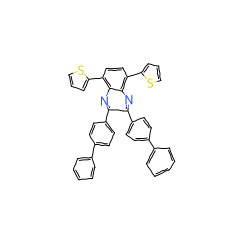 c1ccc(-c2ccc(-c3nc4c(-c5cccs5)ccc(-c5cccs5)c4nc3-c3ccc(-c4ccccc4)cc3)cc2)cc1